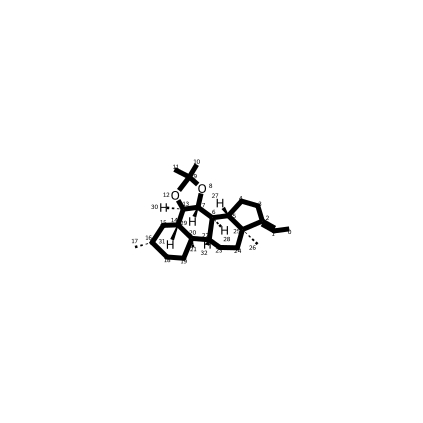 C/C=C1\CC[C@H]2[C@@H]3[C@H]4OC(C)(C)O[C@@H]4[C@H]4C[C@@H](C)CC[C@]4(C)[C@H]3CC[C@]12C